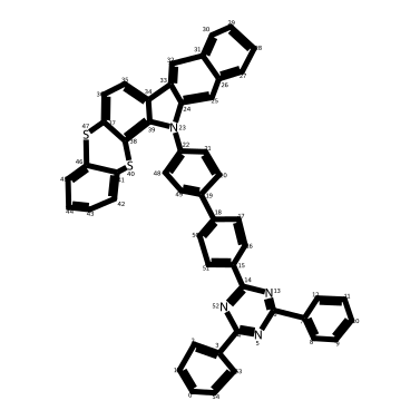 c1ccc(-c2nc(-c3ccccc3)nc(-c3ccc(-c4ccc(-n5c6cc7ccccc7cc6c6ccc7c(c65)Sc5ccccc5S7)cc4)cc3)n2)cc1